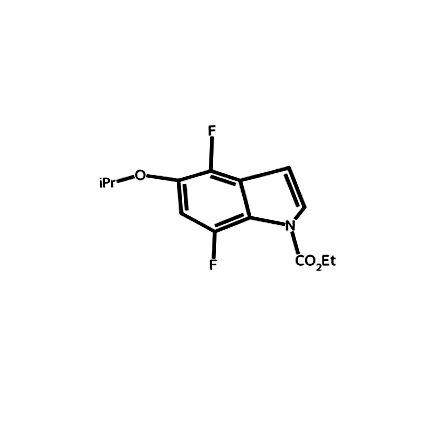 CCOC(=O)n1ccc2c(F)c(OC(C)C)cc(F)c21